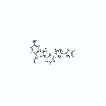 CCOc1ccc(Br)cc1C(=O)Nc1cccc(-c2nnc(-c3ccco3)o2)c1